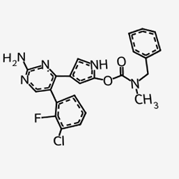 CN(Cc1ccccc1)C(=O)Oc1cc(-c2nc(N)ncc2-c2cccc(Cl)c2F)c[nH]1